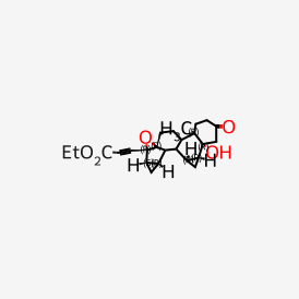 CCOC(=O)C#C[C@@]12O[C@@]13CCC1C(C3[C@@H]3C[C@@H]32)[C@H]2C[C@H]2[C@]2(O)CC(=O)CC[C@]12C